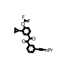 CCCC#Cc1cccc(C(=O)C(=O)c2ccc(OC(F)F)c(C3CC3)c2)c1